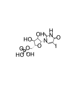 C=C1NC(=O)C(I)=CN1[C@@H]1O[C@H](COP(=O)(O)O)[C@@H](O)C1O